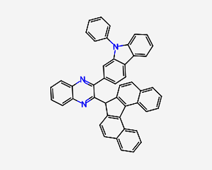 c1ccc(-n2c3ccccc3c3ccc(-c4nc5ccccc5nc4C4c5ccc6ccccc6c5-c5c4ccc4ccccc54)cc32)cc1